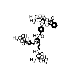 CC(C)(C)OC(=O)NCCCn1cc(NC(=O)c2ccc(OC[C@H](ON3C(=O)c4ccccc4C3=O)C(=O)OC(C)(C)C)cc2)c[n+]1CC1CN(C(=O)OC(C)(C)C)C1